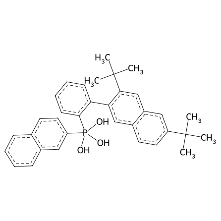 CC(C)(C)c1ccc2cc(-c3ccccc3P(O)(O)(O)c3ccc4ccccc4c3)c(C(C)(C)C)cc2c1